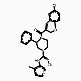 Cc1ccccc1N/C(=N\C#N)N1CCN(C(=O)C2=Cc3cc(Cl)ccc3OC2)C(c2ccccc2)C1